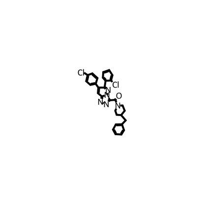 O=C(c1nnc2cc(-c3ccc(Cl)cc3)c(-c3ccccc3Cl)nn12)N1CCC(Cc2ccccc2)CC1